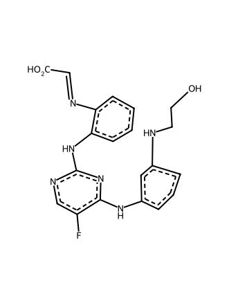 O=C(O)C=Nc1ccccc1Nc1ncc(F)c(Nc2cccc(NCCO)c2)n1